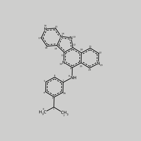 CC(C)c1cccc(Nc2nc3c(nn4cnccc34)c3ccncc23)c1